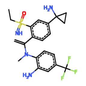 C=C(c1ccc(C2(N)CC2)cc1S(=N)(=O)CC)N(C)c1ccc(C(F)(F)F)cc1N